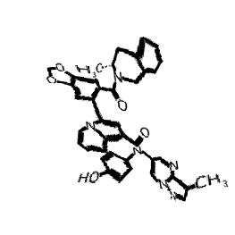 Cc1cnn2cc(N(C(=O)c3cc(-c4cc5c(cc4C(=O)N4Cc6ccccc6C[C@H]4C)OCO5)n4ccccc34)c3ccc(O)cc3)cnc12